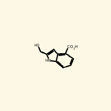 O=C(O)c1cccc2[nH]c(CO)cc12